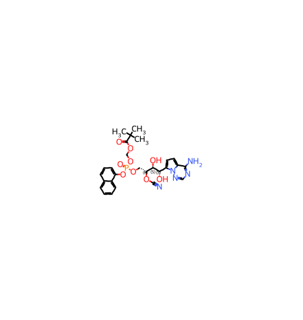 CC(C)(C)C(=O)OCOP(=O)(OC[C@@H](OC#N)[C@@H](O)[C@@H](O)c1ccc2c(N)ncnn12)Oc1cccc2ccccc12